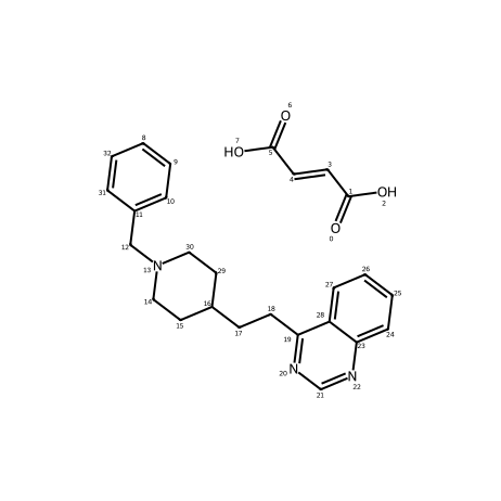 O=C(O)C=CC(=O)O.c1ccc(CN2CCC(CCc3ncnc4ccccc34)CC2)cc1